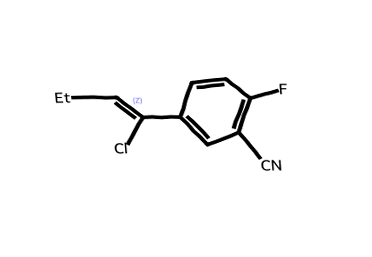 CC/C=C(\Cl)c1ccc(F)c(C#N)c1